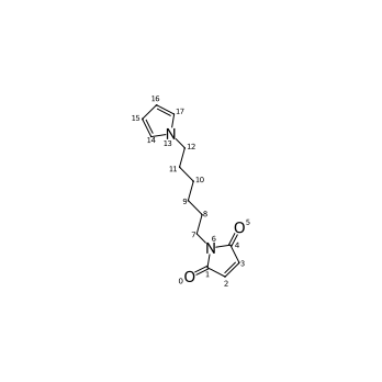 O=C1C=CC(=O)N1CCCCCCn1cccc1